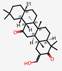 CC[C@]12CCC(C)(C)C[C@H]1[C@H]1C(=O)C[C@@H]3[C@@]4(C)CC(=CO)C(=O)C(C)(C)[C@@H]4CC[C@@]3(C)[C@]1(C)CC2